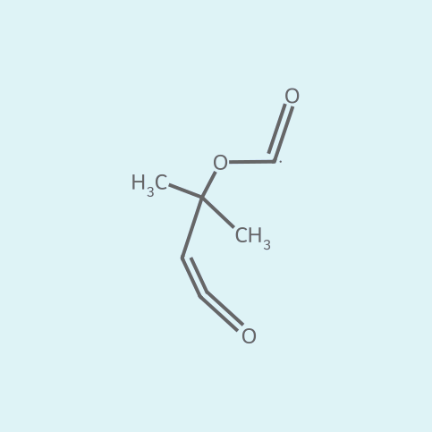 CC(C)(C=C=O)O[C]=O